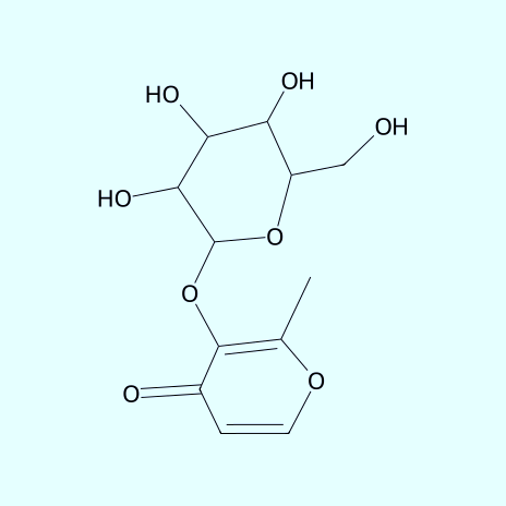 Cc1occc(=O)c1OC1OC(CO)C(O)C(O)C1O